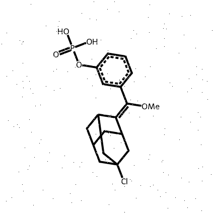 COC(=C1C2CC3CC1CC(Cl)(C3)C2)c1cccc(OP(=O)(O)O)c1